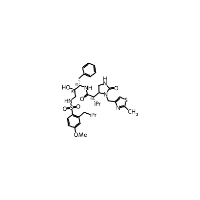 COc1ccc(S(=O)(=O)NC[C@@H](O)[C@H](Cc2ccccc2)NC(=O)[C@@H](C(C)C)C2CNC(=O)N2Cc2csc(C)n2)c(CC(C)C)c1